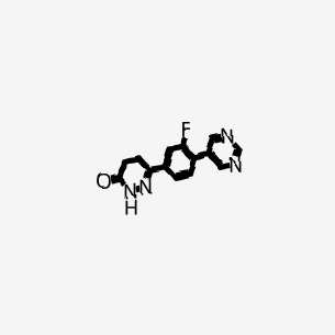 O=C1CCC(c2ccc(-c3cncnc3)c(F)c2)=NN1